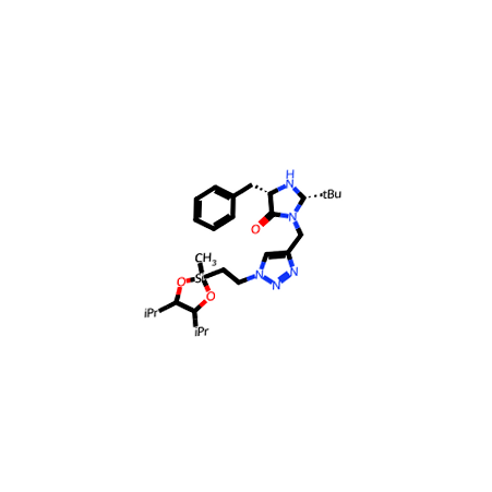 CC(C)C1O[Si](C)(CCn2cc(CN3C(=O)[C@H](Cc4ccccc4)N[C@@H]3C(C)(C)C)nn2)OC1C(C)C